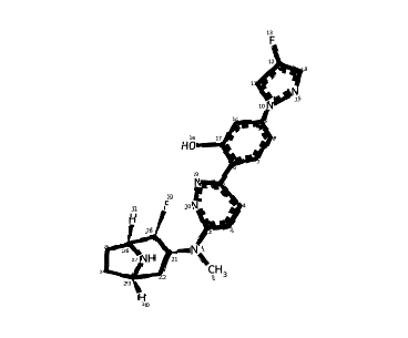 CN(c1ccc(-c2ccc(-n3cc(F)cn3)cc2O)nn1)[C@H]1C[C@@H]2CC[C@@H](N2)[C@H]1F